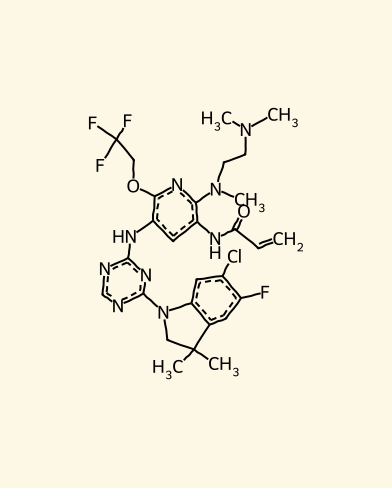 C=CC(=O)Nc1cc(Nc2ncnc(N3CC(C)(C)c4cc(F)c(Cl)cc43)n2)c(OCC(F)(F)F)nc1N(C)CCN(C)C